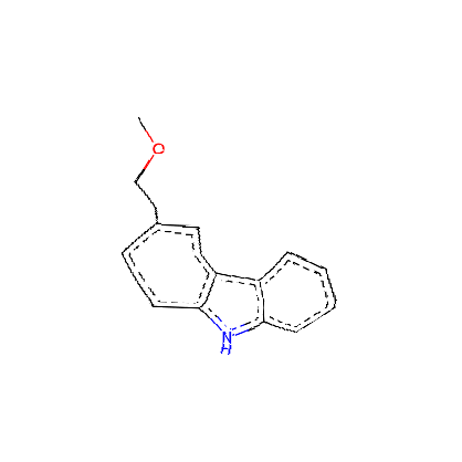 COCc1ccc2[nH]c3ccccc3c2c1